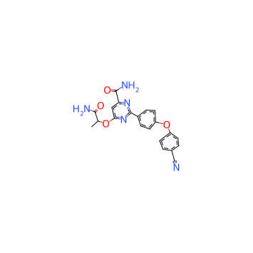 CC(Oc1cc(C(N)=O)nc(-c2ccc(Oc3ccc(C#N)cc3)cc2)n1)C(N)=O